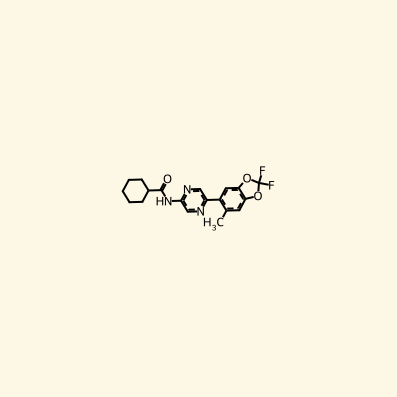 Cc1cc2c(cc1-c1cnc(NC(=O)C3CCCCC3)cn1)OC(F)(F)O2